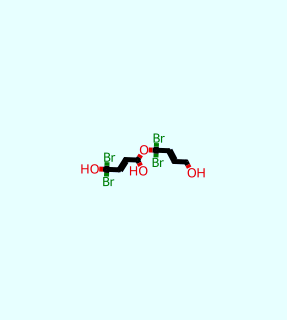 OCC=CC(Br)(Br)OC(O)C=CC(O)(Br)Br